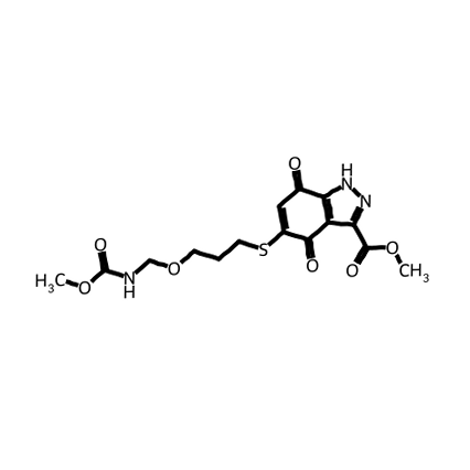 COC(=O)NCOCCCSC1=CC(=O)c2[nH]nc(C(=O)OC)c2C1=O